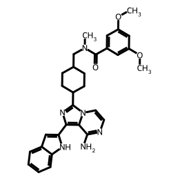 COc1cc(OC)cc(C(=O)N(C)CC2CCC(c3nc(-c4cc5ccccc5[nH]4)c4c(N)nccn34)CC2)c1